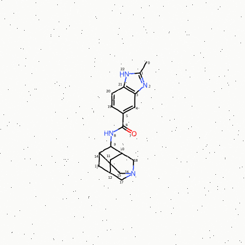 Cc1nc2cc(C(=O)NC3C4CC5CC3CN(C5)C4)ccc2[nH]1